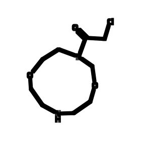 O=C(CCl)N1CCOCCNCCOC1